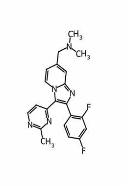 Cc1nccc(-c2c(-c3ccc(F)cc3F)nc3cc(CN(C)C)ccn23)n1